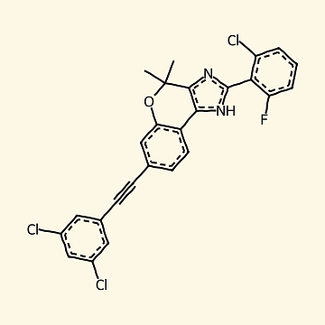 CC1(C)Oc2cc(C#Cc3cc(Cl)cc(Cl)c3)ccc2-c2[nH]c(-c3c(F)cccc3Cl)nc21